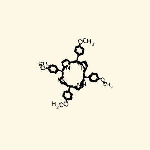 COc1ccc(-c2c3nc(c(-c4ccc(OC)cc4)c4ccc([nH]4)c(-c4ccc(OC)cc4)c4ccc([nH]4)c(-c4ccc(OC)cc4)c4nc2C=C4)C=C3)cc1